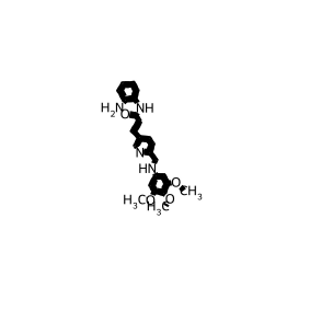 COc1cc(NCc2ccc(C=CC(=O)Nc3ccccc3N)cn2)cc(OC)c1OC